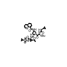 C=CC1CC1(NC(=O)[C@@H]1C[C@@H](NC(=O)c2cccc3cccnc23)CN1C(=O)[C@@H](NC(=O)CC1CC1)C(C)(C)C)C(=O)NS(=O)(=O)C1CC1